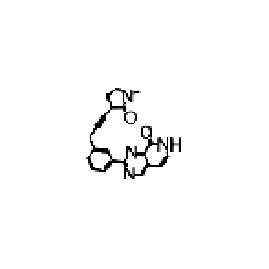 CN1CC[C@H](C#CCc2cccc(-c3ncc4cc[nH]c(=O)c4n3)c2)C1=O